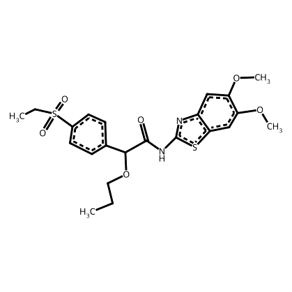 CCCOC(C(=O)Nc1nc2cc(OC)c(OC)cc2s1)c1ccc(S(=O)(=O)CC)cc1